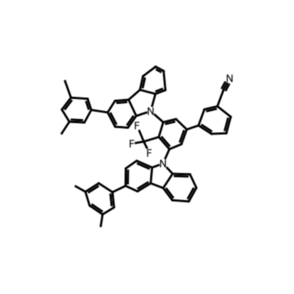 Cc1cc(C)cc(-c2ccc3c(c2)c2ccccc2n3-c2cc(-c3cccc(C#N)c3)cc(-n3c4ccccc4c4cc(-c5cc(C)cc(C)c5)ccc43)c2C(F)(F)F)c1